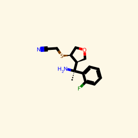 C[C@@](N)(c1ccccc1F)[C@@H]1COC[C@@H]1SCC#N